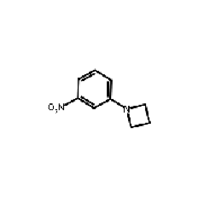 O=[N+]([O-])c1cccc(N2CCC2)c1